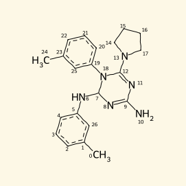 Cc1cccc(NC2N=C(N)N=C(N3CCCC3)N2c2cccc(C)c2)c1